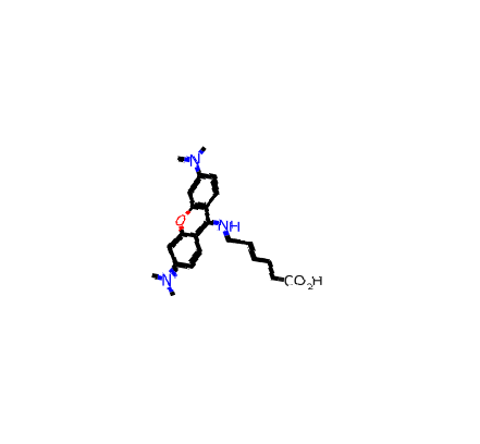 CN(C)c1ccc2c(NCCCCCC(=O)O)c3ccc(=[N+](C)C)cc-3oc2c1